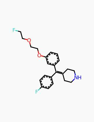 FCCOCCOc1cccc(C(=C2CCNCC2)c2ccc(F)cc2)c1